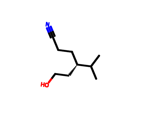 CC(C)[C@H](CCO)CCC#N